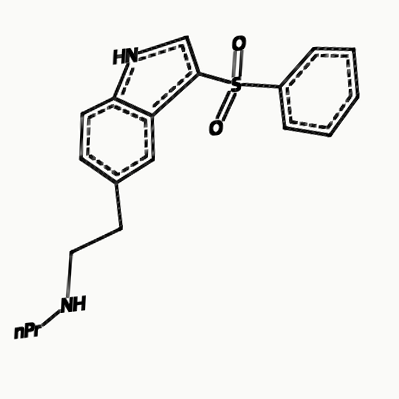 CCCNCCc1ccc2[nH]cc(S(=O)(=O)c3ccccc3)c2c1